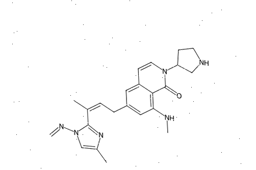 C=Nn1cc(C)nc1/C(C)=C\Cc1cc(NC)c2c(=O)n(C3CCNC3)ccc2c1